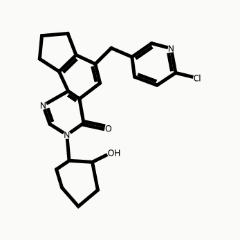 O=c1c2cc(Cc3ccc(Cl)nc3)c3c(c2ncn1C1CCCCC1O)CCC3